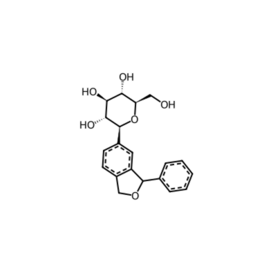 OC[C@H]1O[C@@H](c2ccc3c(c2)C(c2ccccc2)OC3)[C@H](O)[C@@H](O)[C@@H]1O